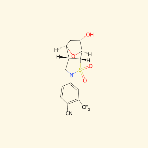 N#Cc1ccc(N2C[C@H]3[C@H]([C@H]4O[C@@H]3C[C@@H]4O)S2(=O)=O)cc1C(F)(F)F